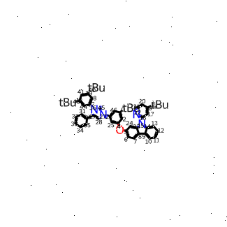 CC(C)(C)c1cc(Oc2ccc3c4ccccc4n(-c4cc(C(C)(C)C)ccn4)c3c2)cc(-n2cc(-c3ccccc3)[n+](-c3cc(C(C)(C)C)cc(C(C)(C)C)c3)c2)c1